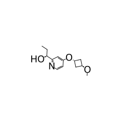 CC[C@H](O)c1cc(O[C@H]2C[C@H](OC)C2)ccn1